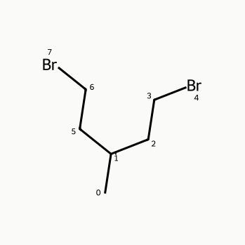 C[C](CCBr)CCBr